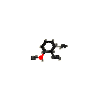 CCOc1cccc([C](C)C)c1[N+](=O)[O-]